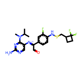 CC(C)N(C)c1nc(N)ncc1/N=C(\C=O)c1ccc(NSCC2CCC2(F)F)c(F)c1